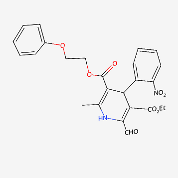 CCOC(=O)C1=C(C=O)NC(C)=C(C(=O)OCCOc2ccccc2)C1c1ccccc1[N+](=O)[O-]